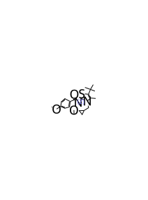 COc1ccc(C(=O)/N=c2\sc(C(C)(C)C)c(C)n2CC2CC2)c(OC)c1